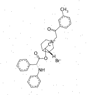 Cc1cccc(C(=O)C[N+]23CCC(CC2)[C@@H](OC(=O)[C@H](Nc2ccccc2)c2ccccc2)C3)c1.[Br-]